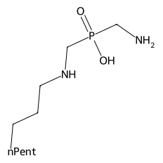 CCCCCCCCNCP(=O)(O)CN